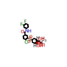 C[C@H](O)[C@@H](O)[C@@]1(O)[C@H]2C[C@@H](S(=O)(=O)c3cc(C(=O)Nc4ccc(F)c(F)c4)ccc3Cl)C[C@@H]1[C@@H](O)C2